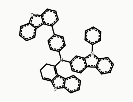 C1=c2sc3ccccc3c2=C(N(c2ccc(-c3cccc4oc5ccccc5c34)cc2)c2ccc3c4ccccc4n(-c4ccccc4)c3c2)CC1